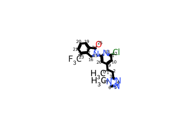 C[C@@H](Cc1nncn1C)c1cc(Cl)nc(N2Cc3c(cccc3C(F)(F)F)C2=O)c1